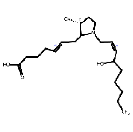 CCCCCC(O)/C=C\CN1CC[C@@H](Cl)C1C/C=C/CCCC(=O)O